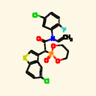 C=CN(C(=O)C(c1csc2ccc(Cl)cc12)P1(=O)OCCCO1)c1cc(Cl)ccc1F